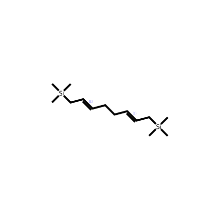 C[Si](C)(C)C/C=C/CC/C=C/C[Si](C)(C)C